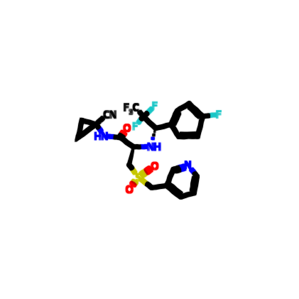 N#CC1(NC(=O)[C@H](CS(=O)(=O)Cc2cccnc2)N[C@@H](c2ccc(F)cc2)C(F)(F)C(F)(F)F)CC1